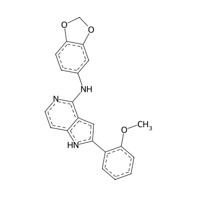 COc1ccccc1-c1cc2c(Nc3ccc4c(c3)OCO4)nccc2[nH]1